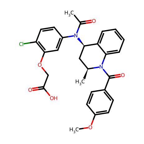 COc1ccc(C(=O)N2c3ccccc3[C@H](N(C(C)=O)c3ccc(Cl)c(OCC(=O)O)c3)C[C@@H]2C)cc1